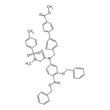 COC(=O)c1ccc(-c2ccc(CN(C(=O)CN(C)S(=O)(=O)c3ccc(C)cc3)c3ccc(C(=O)OCc4ccccc4)c(OCc4ccccc4)c3)cc2)cc1